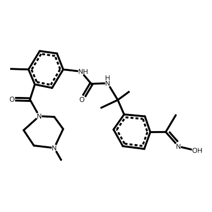 C/C(=N\O)c1cccc(C(C)(C)NC(=O)Nc2ccc(C)c(C(=O)N3CCN(C)CC3)c2)c1